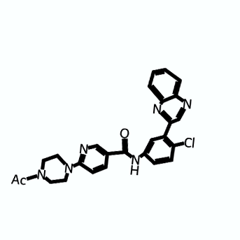 CC(=O)N1CCN(c2ccc(C(=O)Nc3ccc(Cl)c(-c4cnc5ccccc5n4)c3)cn2)CC1